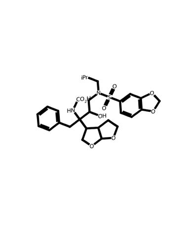 CC(C)CN(CC(O)C(Cc1ccccc1)(NC(=O)O)C1COC2OCCC21)S(=O)(=O)c1ccc2c(c1)OCO2